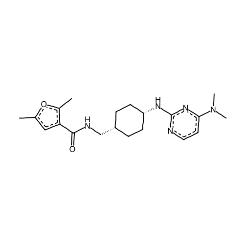 Cc1cc(C(=O)NC[C@H]2CC[C@@H](Nc3nccc(N(C)C)n3)CC2)c(C)o1